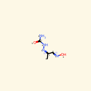 CC(/C=N/O)=N/NC(N)=O